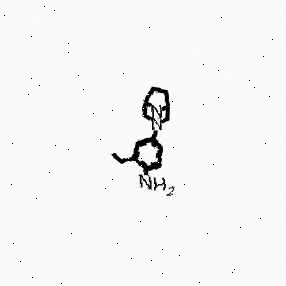 CCc1cc(N2CC3CCC(C2)N3C)ccc1N